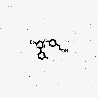 CCc1cc(Oc2ccc(CCO)cc2)nc(-c2cccc(C)c2)n1